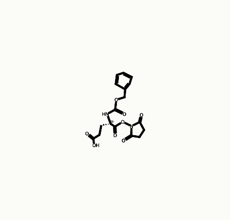 O=C(O)CC[C@H](NC(=O)OCc1ccccc1)C(=O)ON1C(=O)CCC1=O